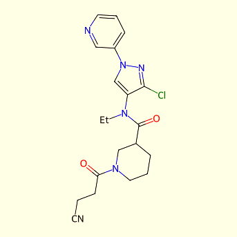 CCN(C(=O)C1CCCN(C(=O)CCC#N)C1)c1cn(-c2cccnc2)nc1Cl